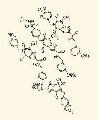 COc1ccc(CNC(=O)c2cc3c(=O)n(Cc4ccc([N+](=O)[O-])nc4)c(=O)n(C)c3s2)cc1.COc1cccc(CNC(=O)c2cc3c(=O)n(Cc4ccc(S(=O)(=O)NC5CC5)cc4)c(=O)n(C)c3s2)c1.COc1cccc(CNC(=O)c2cc3c(=O)n(Cc4ccc([N+](=O)[O-])nc4)c(=O)n(C)c3s2)c1.Cn1c(=O)n(Cc2ccc([N+](=O)[O-])nc2)c(=O)c2cc(C(=O)O)sc21